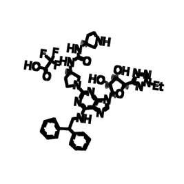 CCn1nnc([C@H]2O[C@@H](n3cnc4c(NCC(c5ccccc5)c5ccccc5)nc(N5CC[C@@H](NC(=O)N[C@@H]6CCNC6)C5)nc43)[C@H](O)[C@@H]2O)n1.O=C(O)C(F)(F)F